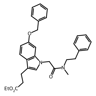 CCOC(=O)CCc1cn(CC(=O)N(C)CCc2ccccc2)c2cc(OCc3ccccc3)ccc12